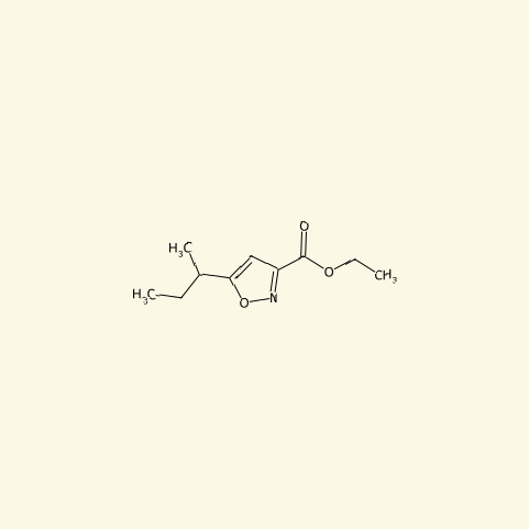 CCOC(=O)c1cc(C(C)CC)on1